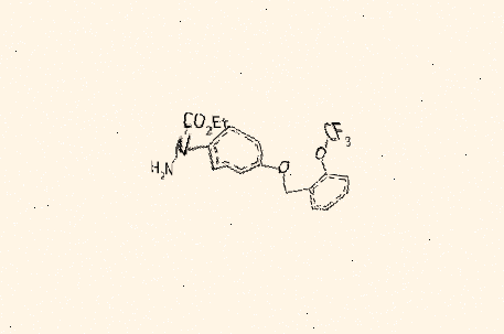 CCOC(=O)N(N)c1ccc(OCc2ccccc2OC(F)(F)F)cc1